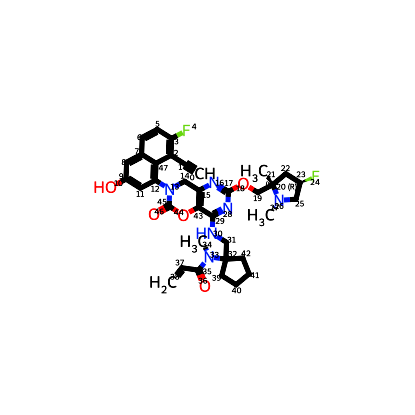 C#Cc1c(F)ccc2cc(O)cc(N3Cc4nc(OC[C@]5(C)C[C@@H](F)CN5C)nc(NCC5(N(C)C(=O)C=C)CCCC5)c4OC3=O)c12